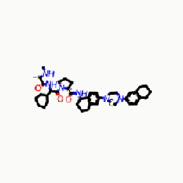 CN[C@@H](C)C(=O)NC(C(=O)N1CCC[C@H]1C(=O)N[C@@H]1CCCc2cc(N3CCN(c4ccc5c(c4)CCCC5)CC3)ccc21)C1CCCCC1